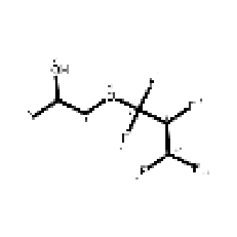 CC(O)COC(F)(F)C(F)C(F)F